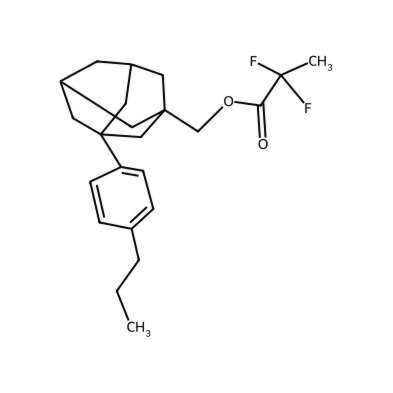 CCCc1ccc(C23CC4CC(CC(COC(=O)C(C)(F)F)(C4)C2)C3)cc1